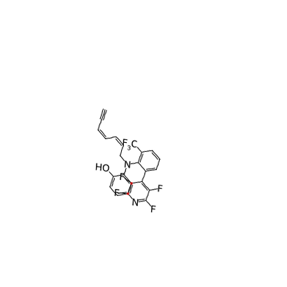 C#C/C=C\C=C/CN(c1ccccc1O)c1c(-c2c(F)c(F)nc(F)c2F)cccc1C(F)(F)F